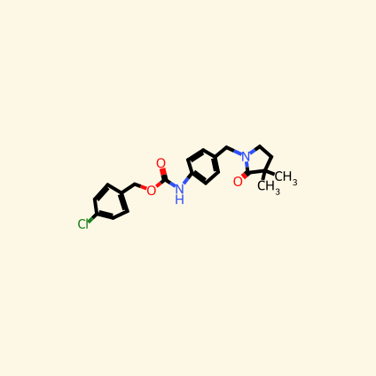 CC1(C)CCN(Cc2ccc(NC(=O)OCc3ccc(Cl)cc3)cc2)C1=O